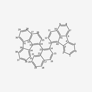 c1ccc2c(c1)-c1cccc3ccc(-c4ccc5ccccc5c4-c4ccc5cccc6c5c4-c4ccccc4-6)c-2c13